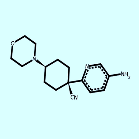 N#C[C@]1(c2ccc(N)cn2)CC[C@H](N2CCOCC2)CC1